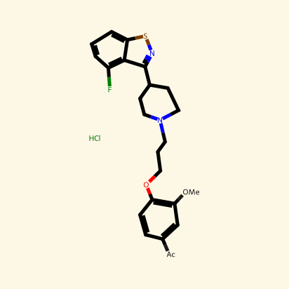 COc1cc(C(C)=O)ccc1OCCCN1CCC(c2nsc3cccc(F)c23)CC1.Cl